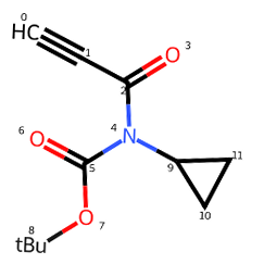 C#CC(=O)N(C(=O)OC(C)(C)C)C1CC1